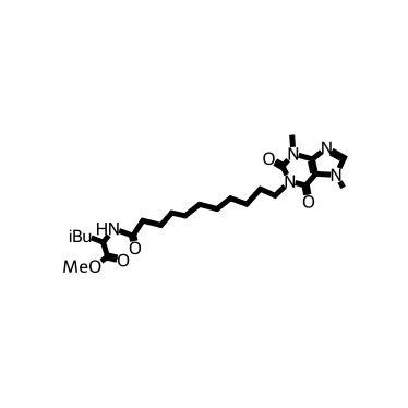 CCC(C)C(NC(=O)CCCCCCCCCCn1c(=O)c2c(ncn2C)n(C)c1=O)C(=O)OC